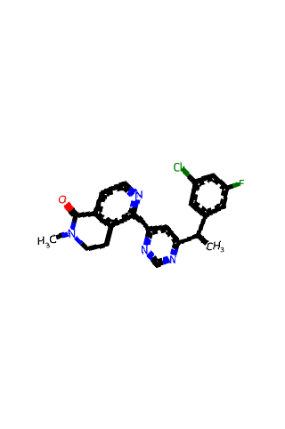 CC(c1cc(F)cc(Cl)c1)c1cc(-c2nccc3c2CCN(C)C3=O)ncn1